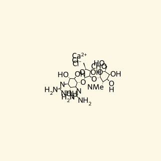 CN[C@@H]1[C@H](O[C@H]2[C@H](O[C@H]3[C@H](O)[C@@H](O)[C@H](N=C(N)N)[C@@H](O)[C@@H]3N=C(N)N)O[C@@H](C)[C@]2(O)C=O)O[C@@H](CO)[C@H](O)[C@H]1O.[Ca+2].[Cl-].[Cl-]